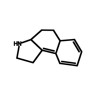 C1=CC2=C3CCNC3CCC2C=C1